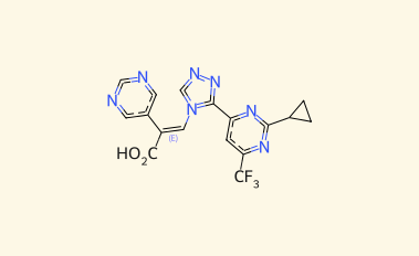 O=C(O)/C(=C/n1cnnc1-c1cc(C(F)(F)F)nc(C2CC2)n1)c1cncnc1